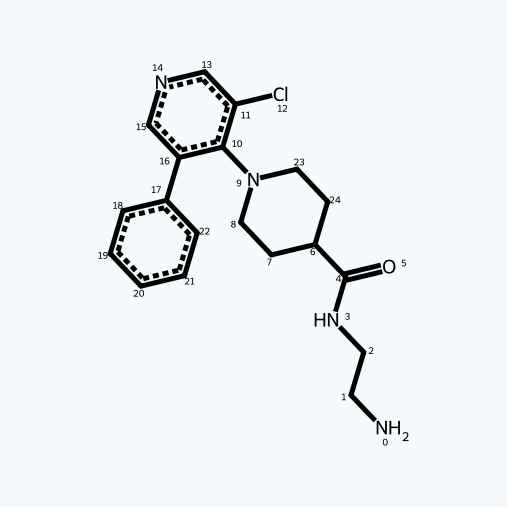 NCCNC(=O)C1CCN(c2c(Cl)cncc2-c2ccccc2)CC1